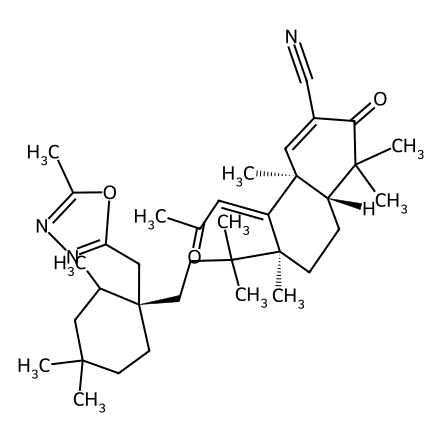 CC(=O)/C=C1/[C@@]2(C)C=C(C#N)C(=O)C(C)(C)[C@@H]2CC[C@@]1(C)C(C)(C)CC[C@@]1(Cc2nnc(C)o2)CCC(C)(C)CC1C